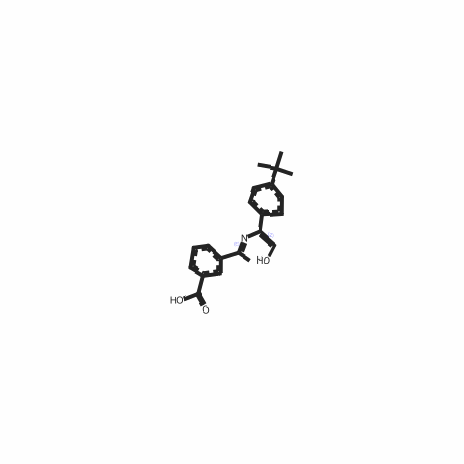 C/C(=N\C(=C/O)c1ccc(C(C)(C)C)cc1)c1cccc(C(=O)O)c1